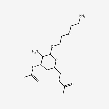 CC(=O)OCC1CC(OC(C)=O)C(N)C(OCCOCCN)O1